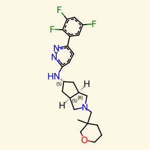 CC1(CN2C[C@H]3C[C@H](Nc4ccc(-c5cc(F)cc(F)c5F)nn4)C[C@H]3C2)CCCOC1